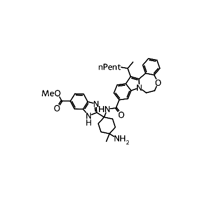 CCCCCC(C)c1c2n(c3cc(C(=O)NC4(c5nc6ccc(C(=O)OC)cc6[nH]5)CCC(C)(N)CC4)ccc13)CCOc1ccccc1-2